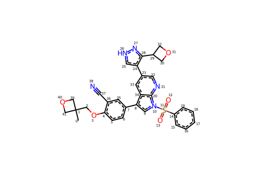 CC1(COc2ccc(-c3cn(S(=O)(=O)c4ccccc4)c4ncc(-c5c[nH]nc5C5COC5)cc34)cc2C#N)COC1